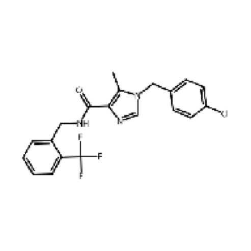 Cc1c(C(=O)NCc2ccccc2C(F)(F)F)ncn1Cc1ccc(Cl)cc1